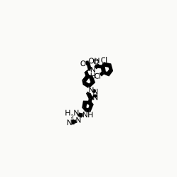 N#C/N=C(\N)Nc1ccc(-c2cn(-c3ccc(C[C@H](NC(=O)c4c(Cl)cccc4Cl)C(=O)O)cc3)nn2)cc1